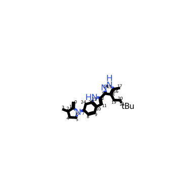 C=C1C(C)CCN1C1C=Cc2cc(-c3n[nH]c(C)c3CCC(C)(C)C)[nH]c2C1